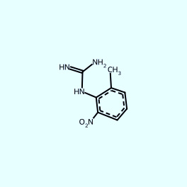 Cc1cccc([N+](=O)[O-])c1NC(=N)N